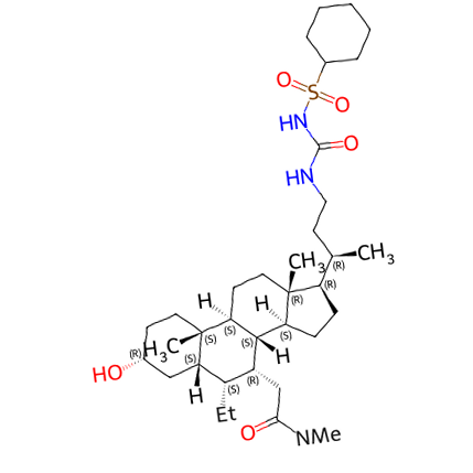 CC[C@H]1[C@@H](CC(=O)NC)[C@@H]2[C@H](CC[C@]3(C)[C@@H]([C@H](C)CCNC(=O)NS(=O)(=O)C4CCCCC4)CC[C@@H]23)[C@@]2(C)CC[C@@H](O)C[C@@H]12